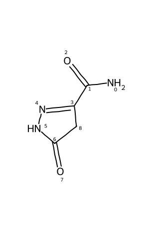 NC(=O)C1=NNC(=O)C1